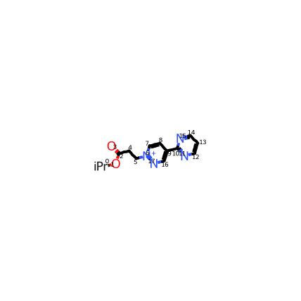 CC(C)OC(=O)CC[n+]1ccc(-c2ncccn2)cn1